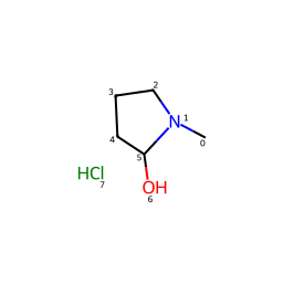 CN1CCCC1O.Cl